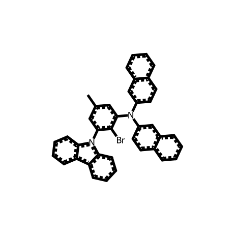 Cc1cc(N(c2ccc3ccccc3c2)c2ccc3ccccc3c2)c(Br)c(-n2c3ccccc3c3ccccc32)c1